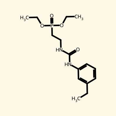 CCOP(=O)(CCNC(=O)Nc1cccc(CC)c1)OCC